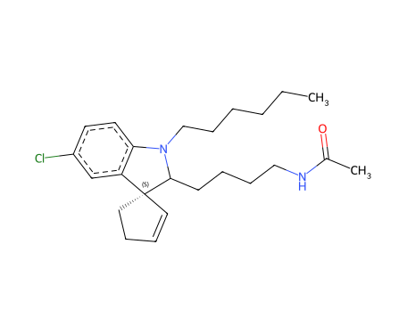 CCCCCCN1c2ccc(Cl)cc2[C@]2(C=CCC2)C1CCCCNC(C)=O